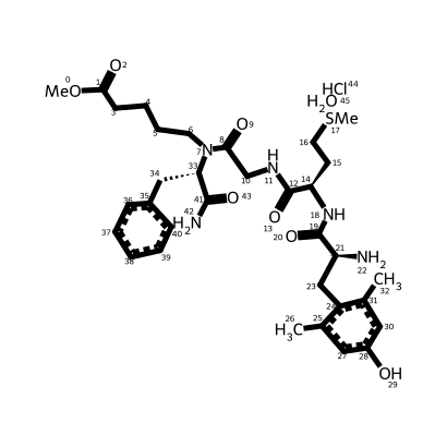 COC(=O)CCCCN(C(=O)CNC(=O)[C@@H](CCSC)NC(=O)[C@@H](N)Cc1c(C)cc(O)cc1C)[C@@H](Cc1ccccc1)C(N)=O.Cl.O